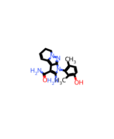 Cc1ccc(O)c(C)c1-n1c(N)c(C(N)=O)c2c3n(nc21)CCC=C3